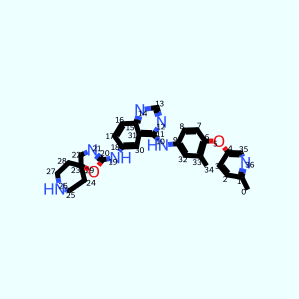 Cc1ccc(Oc2ccc(Nc3ncnc4ccc(NC5=NCC6(CCNCC6)O5)cc34)cc2C)cn1